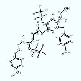 COc1ccc(COC[C@H](C)[C@H](O[Si](C)(C)C(C)(C)C)[C@@H](C)/C=C(/C)C[C@H](C)[C@@H](O[Si](C)(C)C(C)(C)C)[C@H](C)[C@@H](OCc2ccc(OC)cc2)[C@@H](C)CO)cc1